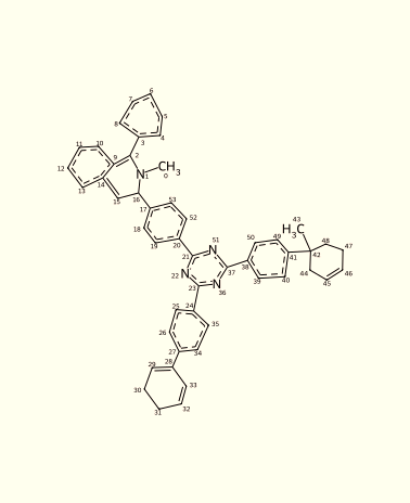 CN1C(c2ccccc2)=c2ccccc2=CC1c1ccc(-c2nc(-c3ccc(C4=CCCC=C4)cc3)nc(-c3ccc(C4(C)CC=CCC4)cc3)n2)cc1